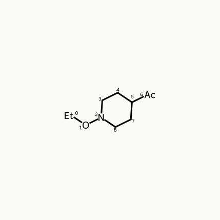 CCON1CCC(C(C)=O)CC1